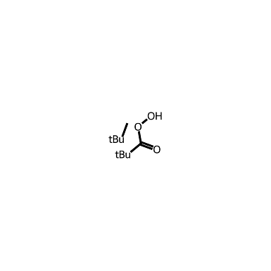 CC(C)(C)C.CC(C)(C)C(=O)OO